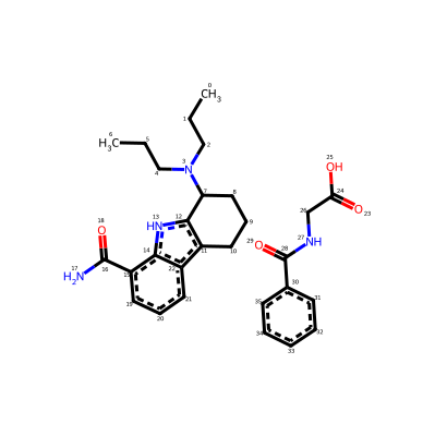 CCCN(CCC)C1CCCc2c1[nH]c1c(C(N)=O)cccc21.O=C(O)CNC(=O)c1ccccc1